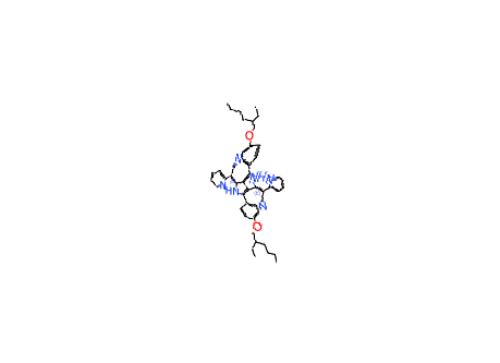 CCCCC(CC)COc1ccc(-c2[nH]/c(=C(/C#N)c3ccccn3)c3c(-c4ccc(OCC(CC)CCCC)cc4)[nH]/c(=C(/C#N)c4ccccn4)c23)cc1